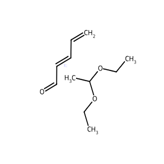 C=C/C=C/C=O.CCOC(C)OCC